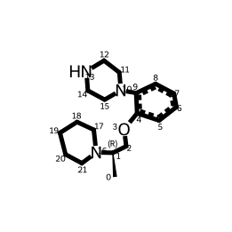 C[C@H](COc1ccccc1N1CCNCC1)N1CCCCC1